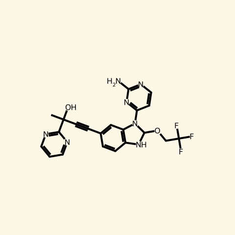 CC(O)(C#Cc1ccc2c(c1)N(c1ccnc(N)n1)C(OCC(F)(F)F)N2)c1ncccn1